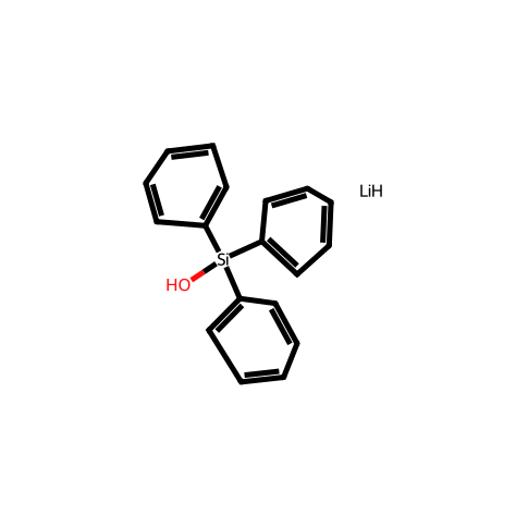 O[Si](c1ccccc1)(c1ccccc1)c1ccccc1.[LiH]